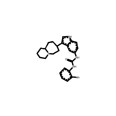 CC(C)c1ccccc1NC(=O)Nc1ccc2[nH]cc(C3CCC4CCCCN4CC3)c2c1